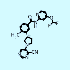 Cc1ccc(C(=O)Nc2cc(OC(F)F)ccn2)cc1[C@@H]1CCN(c2cncnc2C#N)C1